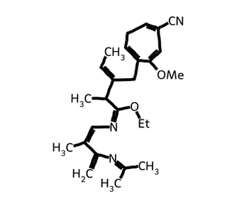 C=C(N=C(C)C)/C(C)=C\N=C(\OCC)C(C)/C(=C/C)CC1=CCC=C(C#N)C=C1OC